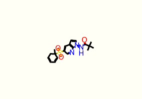 CC(C)(C)C(=O)Nn1ccc2cc(S(=O)(=O)C3(C)C=CC=CC3)cnc21